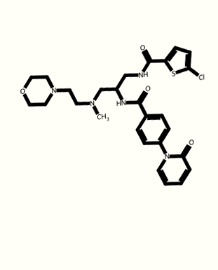 CN(CCN1CCOCC1)CC(CNC(=O)c1ccc(Cl)s1)NC(=O)c1ccc(-n2ccccc2=O)cc1